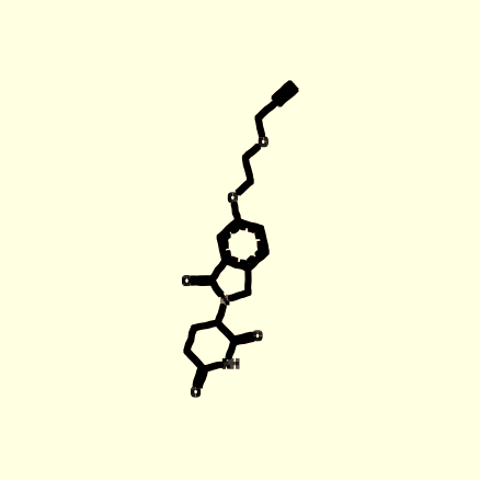 C#CCOCCOc1ccc2c(c1)C(=O)N(C1CCC(=O)NC1=O)C2